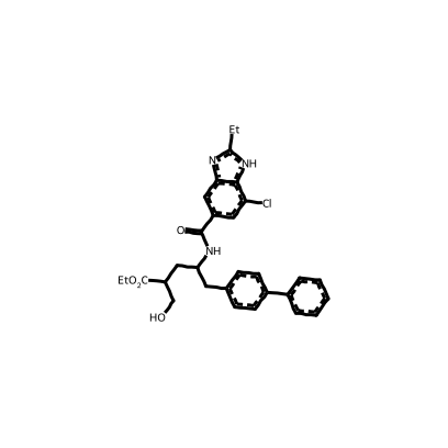 CCOC(=O)C(CO)CC(Cc1ccc(-c2ccccc2)cc1)NC(=O)c1cc(Cl)c2[nH]c(CC)nc2c1